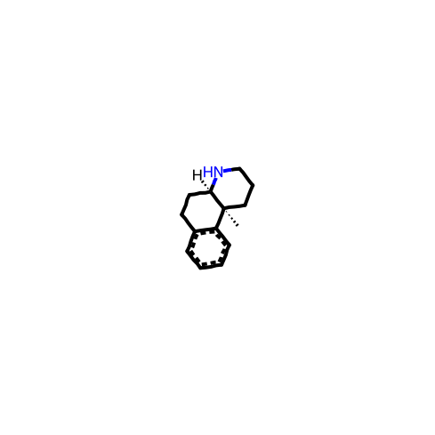 C[C@@]12CCCN[C@@H]1CCc1ccccc12